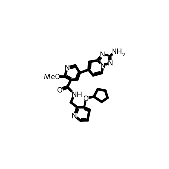 COc1ncc(-c2ccn3nc(N)nc3c2)cc1C(=O)NCc1ncccc1OC1CCCC1